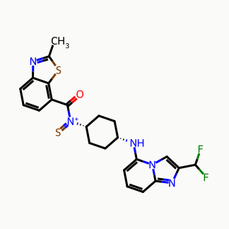 Cc1nc2cccc(C(=O)[N+](=S)[C@H]3CC[C@@H](Nc4cccc5nc(C(F)F)cn45)CC3)c2s1